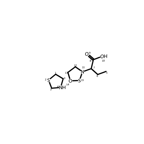 C1CSCN1.CCC(C(=O)O)N1CCOS1